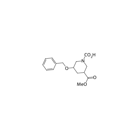 COC(=O)C1CC(OCc2ccccc2)CN(C(=O)O)C1